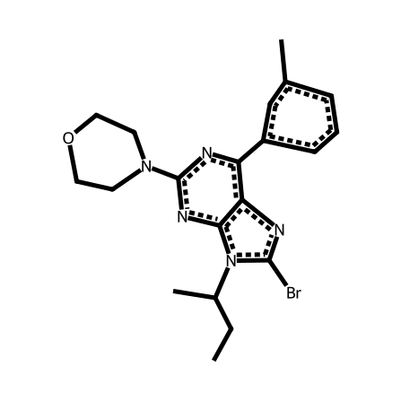 CCC(C)n1c(Br)nc2c(-c3cccc(C)c3)nc(N3CCOCC3)nc21